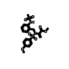 C=C(C(=O)OC)N(Cc1ccccc1NS(C)(=O)=O)S(=O)(=O)c1ccc(OC)cc1